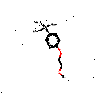 CCOCCOc1ccc([Si](OC)(OC)OC)cc1